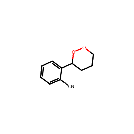 N#Cc1ccccc1C1CCCOO1